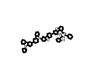 c1ccc(C2N=C(c3cccc4oc5cc(-c6ccc7c(c6)oc6ccc(-n8c9ccccc9c9cc(-c%10ccc%11c(c%10)c%10ccccc%10n%11-c%10ccccc%10)ccc98)cc67)ccc5c34)NC(c3ccccc3)N2)cc1